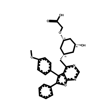 COc1ccc(-c2c(-c3ccccc3)oc3ncnc(C[C@H]4C[C@@H](O)C[C@@H](OCC(=O)O)C4)c23)cc1